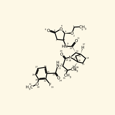 CCO[C@@H]1OC(=O)CC1NC(=O)[C@@H]1[C@H]2CC[C@H](C2)N1C(=O)[C@@H](NC(=O)c1cccc(OC)c1F)C(C)C